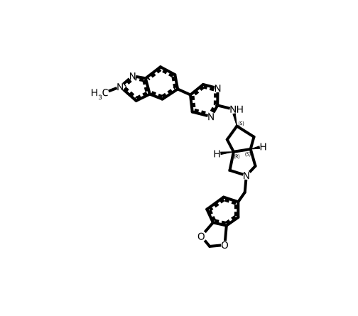 Cn1cc2cc(-c3cnc(N[C@H]4C[C@@H]5CN(Cc6ccc7c(c6)OCO7)C[C@@H]5C4)nc3)ccc2n1